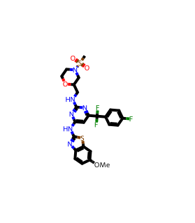 COc1ccc2nc(Nc3cc(C(F)(F)c4ccc(F)cc4)nc(NCC4CN(S(C)(=O)=O)CCO4)n3)sc2c1